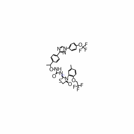 Cc1ccc(OCC(F)(F)F)c(N2C(=O)CS/C2=N\C(=O)NOC(C)c2ccc(-c3ncn(-c4ccc(OC(F)(F)F)cc4)n3)cc2)c1